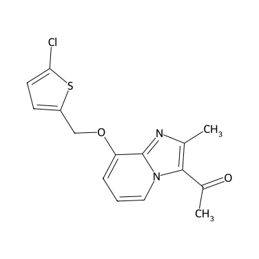 CC(=O)c1c(C)nc2c(OCc3ccc(Cl)s3)cccn12